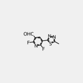 Cc1nnc(-c2cc(C=O)c(F)nc2F)s1